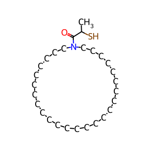 CC(S)C(=O)N1CCCCCCCCCCCCCCCCCCCCCCCCC1